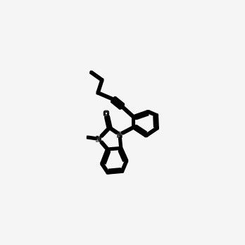 CCCC#Cc1ccccc1-n1c(=O)n(C)c2ccccc21